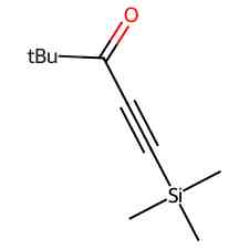 CC(C)(C)C(=O)C#C[Si](C)(C)C